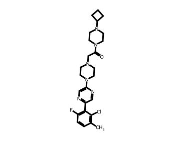 Cc1ccc(F)c(-c2cnc(N3CCN(CC(=O)N4CCN(C5CCC5)CC4)CC3)cn2)c1Cl